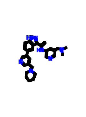 C=C(Nc1cncc(CN(C)C)c1)c1n[nH]c2ccc(-c3cncc(CN4CCCCC4)c3)cc12